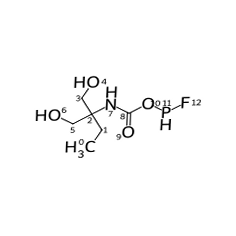 CCC(CO)(CO)NC(=O)OPF